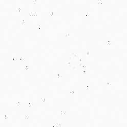 Nc1ccc(CCCCO)cn1